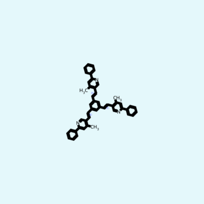 Cc1cc(-c2ccccc2)ncc1/C=C/c1cc(/C=C/c2cnc(-c3ccccc3)cc2C)cc(/C=C/c2cnc(-c3ccccc3)cc2C)c1